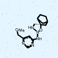 COCc1cc(NN2NC[C@]3(CC4CCC3CC4)O2)ncn1